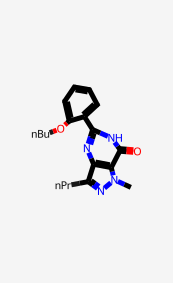 CCCCOc1ccccc1-c1nc2c(CCC)nn(C)c2c(=O)[nH]1